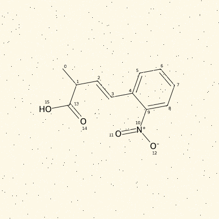 CC(/C=C/c1ccccc1[N+](=O)[O-])C(=O)O